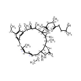 COc1cc2cc(c1Cl)N(C)C(=O)C(C)[C@H](OC(=O)CN(C)C(=O)CCC(C)S)[C@]1(C)O[C@H]1[C@H](C)C1C[C@@](O)(NC(=O)O1)[C@H](OC)/C=C/C=C(\C)C2